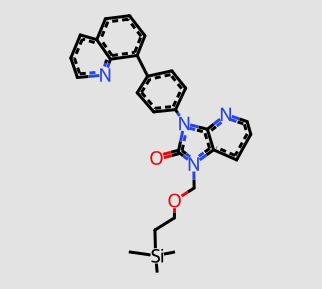 C[Si](C)(C)CCOCn1c(=O)n(-c2ccc(-c3cccc4cccnc34)cc2)c2ncccc21